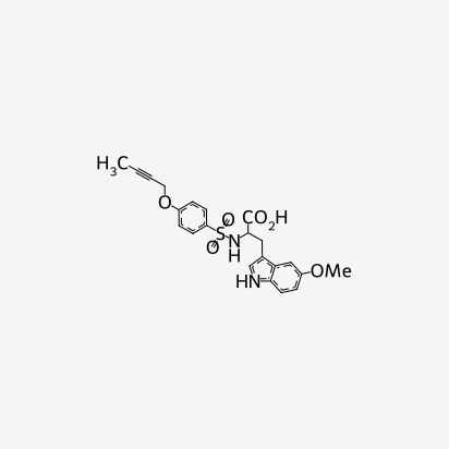 CC#CCOc1ccc(S(=O)(=O)NC(Cc2c[nH]c3ccc(OC)cc23)C(=O)O)cc1